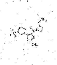 Cc1nc(C(=O)N2CCC2CN)c(-c2cccc(C(F)(F)F)c2)s1